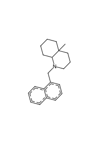 CC12CCCCC1N(Cc1cccc3ccccc13)CCC2